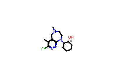 Cc1c(Cl)nnc2c1CN(C)CCN2[C@@H]1CCCC[C@H]1O